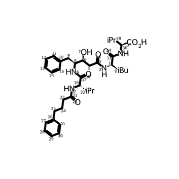 CC[C@H](C)[C@H](NC(=O)C[C@H](O)[C@H](Cc1ccccc1)NC(=O)[C@@H](NC(=O)CCCc1ccccc1)C(C)C)C(=O)N[C@H](C(=O)O)C(C)C